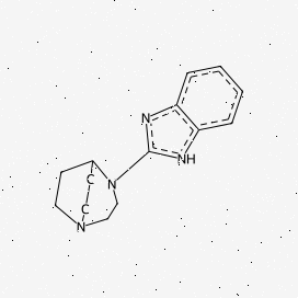 c1ccc2[nH]c(N3CCN4CCC3CC4)nc2c1